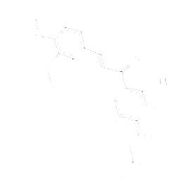 COc1ccc(/C=C/C(=O)c2ccc(OCCO)cc2O)cc1OC